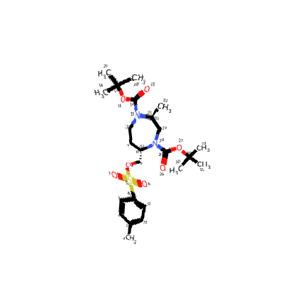 Cc1ccc(S(=O)(=O)OC[C@@H]2CCN(C(=O)OC(C)(C)C)[C@@H](C)CN2C(=O)OC(C)(C)C)cc1